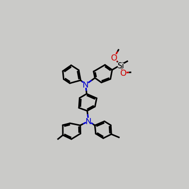 CO[Si](C)(OC)c1ccc(N(c2ccccc2)c2ccc(N(c3ccc(C)cc3)c3ccc(C)cc3)cc2)cc1